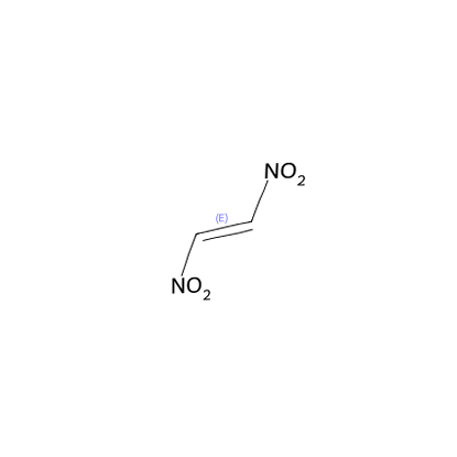 O=[N+]([O-])/C=C/[N+](=O)[O-]